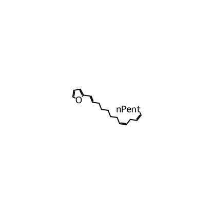 CCCCC/C=C\C/C=C\CCCCC/C=C/c1ccco1